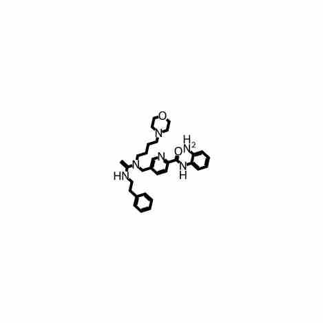 C=C(NCCc1ccccc1)N(CCCCN1CCOCC1)Cc1ccc(C(=O)Nc2ccccc2N)nc1